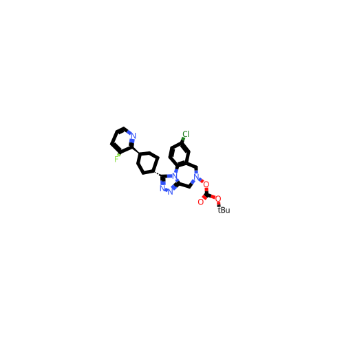 CC(C)(C)OC(=O)ON1Cc2cc(Cl)ccc2-n2c(nnc2[C@H]2CC[C@H](c3ncccc3F)CC2)C1